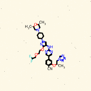 C[C@@H]1CN([C@H]2CC[C@H](n3cc(Nc4ncc(-c5ccc(C#N)c(O[C@@H](C)Cn6cnnn6)c5)cn4)c(OCCOCC(F)F)n3)CC2)C[C@H](C)O1